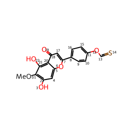 COc1c(O)cc2oc(-c3ccc(OC=S)cc3)cc(=O)c2c1O